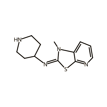 Cn1c(=NC2CCNCC2)sc2ncccc21